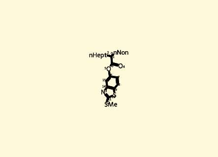 CCCCCCCCCC(CCCCCCC)C(=O)Oc1ccc2sc(SC)nc2c1